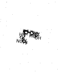 N#C[C@@H]1C[C@H](F)CN1C(=O)CNC12CC3CC1CC(c1ccc(N4CCCS4(O)O)cc1)(C3)C2